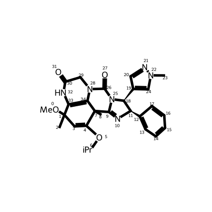 COC1(C)C=C(OC(C)C)C2(C)C3=N[C@H](c4ccccc4)[C@H](c4cnn(C)c4)N3C(=O)N3CC(=O)NC1=C32